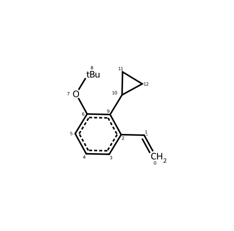 C=[C]c1cccc(OC(C)(C)C)c1C1CC1